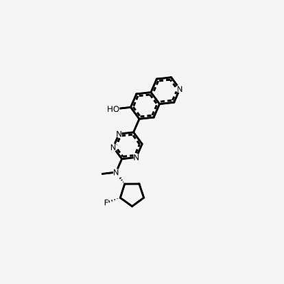 CN(c1ncc(-c2cc3cnccc3cc2O)nn1)[C@@H]1CCC[C@@H]1F